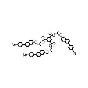 CC(COC(=O)c1cc(C(=O)OCC(C)COc2ccc3cc(-c4ccc(C#N)cc4)ccc3c2)cc(C(=O)OCC(C)COc2ccc3cc(-c4ccc(C#N)cc4)ccc3c2)c1)COc1ccc2cc(-c3ccc(C#N)cc3)ccc2c1